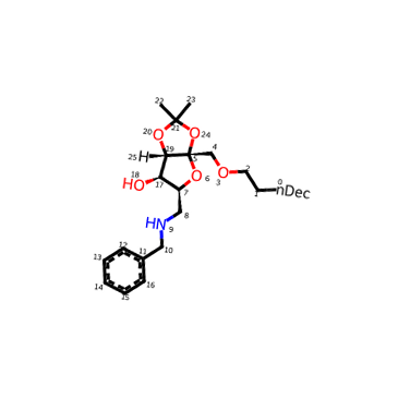 CCCCCCCCCCCCOC[C@@]12O[C@@H](CNCc3ccccc3)[C@@H](O)[C@@H]1OC(C)(C)O2